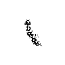 CC(C)N1C2CCC1CC(N1CCC(c3ccc4nc(-c5ccc(S(C)(=O)=O)cc5)n(C)c4c3F)CC1)C2